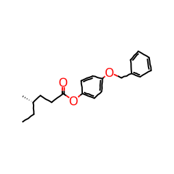 CC[C@H](C)CCC(=O)Oc1ccc(OCc2ccccc2)cc1